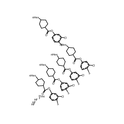 CCCCCCC1CCC(C(=O)Oc2ccc([S])c(Cl)c2)CC1.CCCCCCC1CCC(C(=O)Oc2ccc([S])c(Cl)c2)CC1.CCCCCCC1CCC(C(=O)Oc2ccc([S])c(Cl)c2)CC1.CCCCCCC1CCC(C(=O)Oc2ccc([S])c(Cl)c2)CC1.CCCCCCC1CCC(C(=O)Oc2ccc([S])c(Cl)c2)CC1.F.F.F.F.F